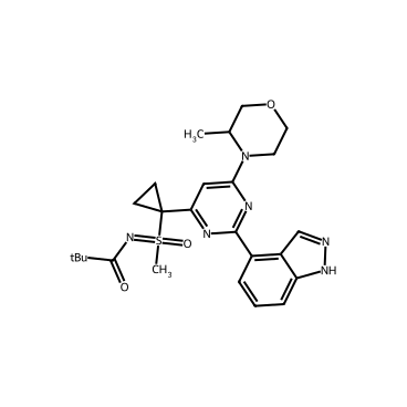 CC1COCCN1c1cc(C2(S(C)(=O)=NC(=O)C(C)(C)C)CC2)nc(-c2cccc3[nH]ncc23)n1